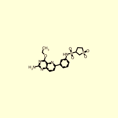 CCOc1nc(N)nc2ccc(-c3cccc(NS(=O)(=O)C4CCS(=O)(=O)C4)c3)nc12